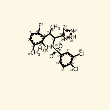 Cc1ccc(F)c(C(C)C(NS(=O)(=O)c2ccc(Cl)c(Cl)c2)c2nn[nH]n2)c1C